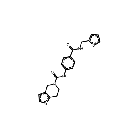 O=C(NCc1ccco1)c1ccc(NC(=O)N2CCc3sccc3C2)cc1